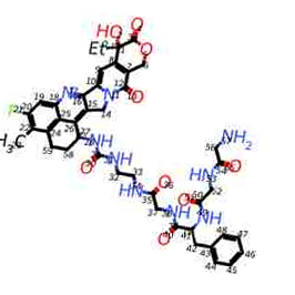 CC[C@@]1(O)C(=O)OCc2c1cc1n(c2=O)Cc2c-1nc1cc(F)c(C)c3c1c2[C@@H](NC(=O)NCCNC(=O)CNC(=O)[C@H](Cc1ccccc1)NC(=O)CNC(=O)CN)CC3